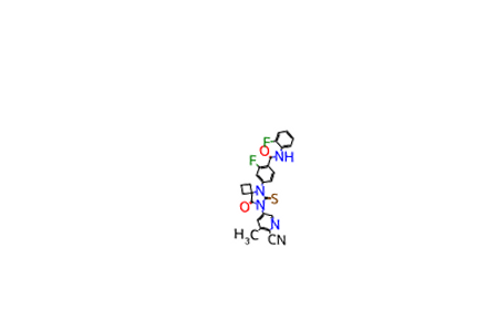 Cc1cc(N2C(=O)C3(CCC3)N(c3ccc(C(=O)Nc4ccccc4F)c(F)c3)C2=S)cnc1C#N